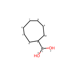 OB(O)C1CCCCCCC1